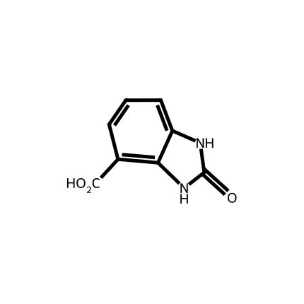 O=C(O)c1cccc2[nH]c(=O)[nH]c12